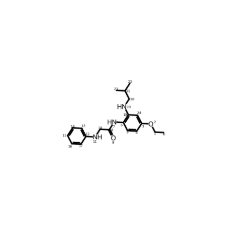 CCOc1ccc(NC(=O)CNc2ccccc2)c(NCC(C)C)c1